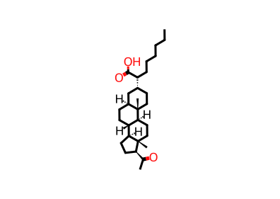 CCCCCCC(C(=O)O)[C@@H]1CC[C@@]2(C)[C@@H](CC[C@@H]3[C@@H]2CC[C@]2(C)[C@@H](C(C)=O)CC[C@@H]32)C1